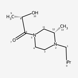 CC(C)CN1CCN(C(=O)[C@H](C)O)C[C@@H]1C